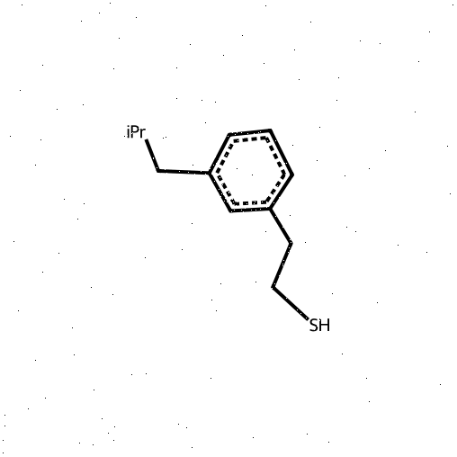 CC(C)Cc1cccc(CCS)c1